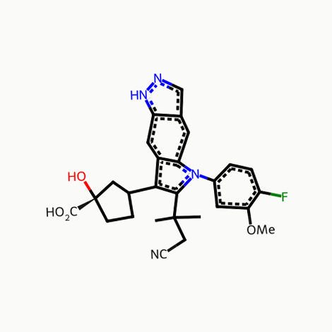 COc1cc(-n2c(C(C)(C)CC#N)c(C3CC[C@@](O)(C(=O)O)C3)c3cc4[nH]ncc4cc32)ccc1F